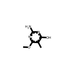 COc1nc(N)nc(O)c1C